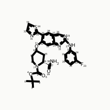 CC(C)(C)OC(=O)N1CCC(Oc2cc3nc(Nc4cccc(F)c4)ncc3cc2-c2nccs2)C[C@@H]1C(N)=O